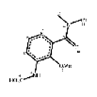 COc1c(NC(=O)O)ccnc1C(=O)N(C)C(C)C